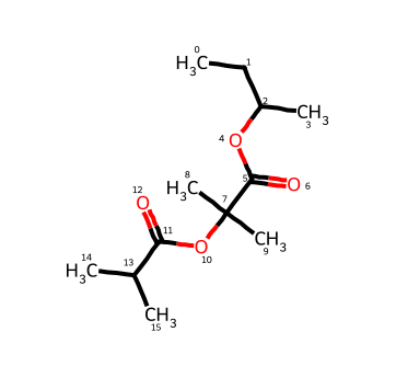 CCC(C)OC(=O)C(C)(C)OC(=O)C(C)C